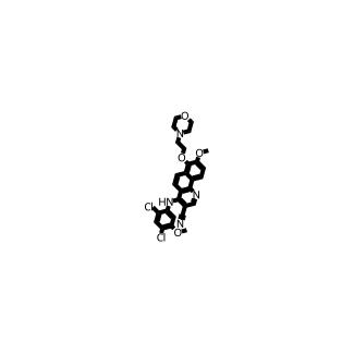 COc1cc(Nc2c(C#N)cnc3c2ccc2c(OCCN4CCOCC4)c(OC)ccc23)c(Cl)cc1Cl